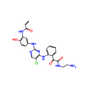 C=CC(=O)Nc1cc(Nc2ncc(Cl)c(Nc3ccccc3C(=O)C(=O)NCCN)n2)ccc1O